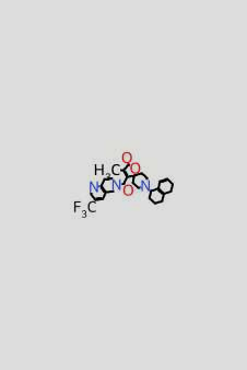 CC1=C(C(=O)N2CCc3ncc(C(F)(F)F)cc3C2)C2(CCN(C3CCCC4=C3C=CCC4)CC2)OC1=O